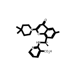 Cc1cc([C@@H](C)Nc2ncccc2C(=O)O)c2oc(N3CCC(C)(C)CC3)cc(=O)c2c1